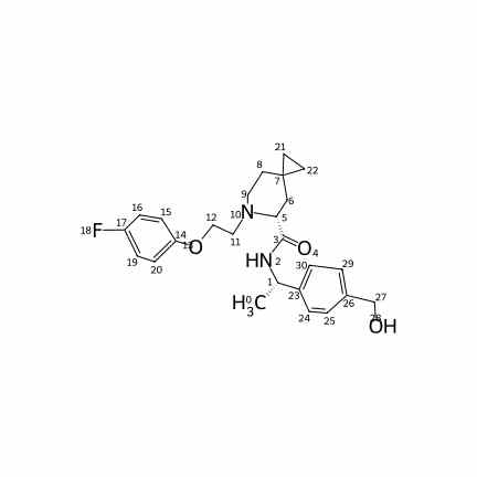 C[C@H](NC(=O)[C@H]1CC2(CCN1CCOc1ccc(F)cc1)CC2)c1ccc(CO)cc1